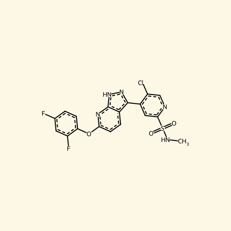 CNS(=O)(=O)c1cc(-c2n[nH]c3nc(Oc4ccc(F)cc4F)ccc23)c(Cl)cn1